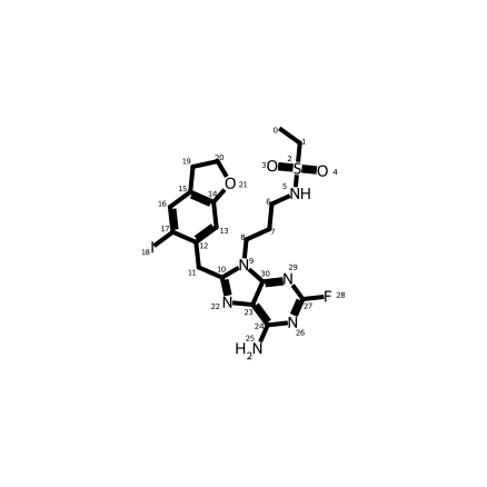 CCS(=O)(=O)NCCCn1c(Cc2cc3c(cc2I)CCO3)nc2c(N)nc(F)nc21